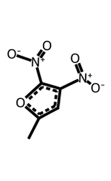 Cc1cc([N+](=O)[O-])c([N+](=O)[O-])o1